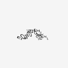 CCC(=O)NOCCOCC(=O)NOCC(C)OCC(=O)NOC[C@H](C)O